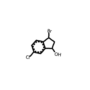 OC1CC(Br)c2ccc(Cl)cc21